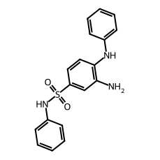 Nc1cc(S(=O)(=O)Nc2ccccc2)ccc1Nc1ccccc1